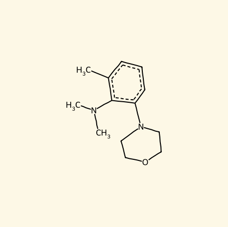 Cc1cccc(N2CCOCC2)c1N(C)C